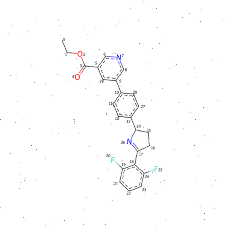 CCOC(=O)c1cncc(-c2ccc(C3CCC(c4c(F)cccc4F)=N3)cc2)c1